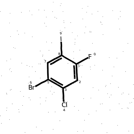 Fc1cc(Cl)c(Br)cc1I